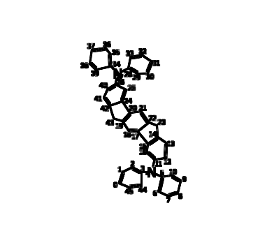 c1ccc(N(c2ccccc2)c2ccc3c(c2)-c2cc4c(cc2C3)-c2cc(N(c3ccccc3)c3ccccc3)ccc2C4)cc1